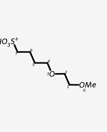 COCCOCCCCS(=O)(=O)O